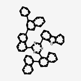 c1ccc(-c2cc(-c3ccc4cccc(-c5nc(-c6c(-c7cccc8ccccc78)ccc7ccccc67)nc(-c6cccc7c6oc6ccccc67)n5)c4c3)cc3ccccc23)cc1